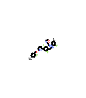 CC(=O)c1cc(F)c2nc(Cc3cc(F)c(-c4cccc(OCc5ccc(C#N)cc5F)n4)cc3F)n(Cc3ncco3)c2c1